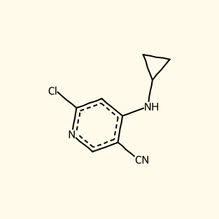 N#Cc1cnc(Cl)cc1NC1CC1